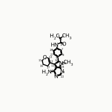 C=C(C)C(=O)Nc1ccc(-c2c(C3=COCCC3)c3c(N)ncnc3n2C)cc1